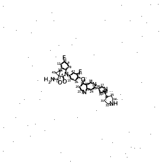 NC(=O)C1(C(=O)N(c2ccc(F)cc2)c2ccc(Oc3ccnc4cc(-c5cnn(C6CCNCC6)c5)ncc34)c(F)c2)CC1